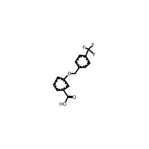 O=C(O)c1cccc(OCc2ccc(C(F)(F)F)cc2)c1